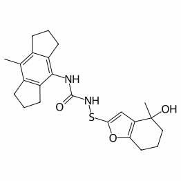 Cc1c2c(c(NC(=O)NSc3cc4c(o3)CCCC4(C)O)c3c1CCC3)CCC2